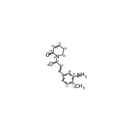 Cc1ccc(/C=C/C(=O)N2CCC=CC2=O)cc1N